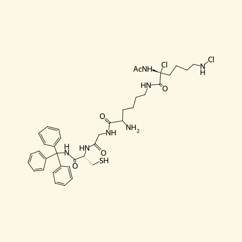 CC(=O)N[C@@](Cl)(CCCCNCl)C(=O)NCCCCC(N)C(=O)NCC(=O)N[C@H](CS)C(=O)NC(c1ccccc1)(c1ccccc1)c1ccccc1